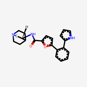 O=C(N[C@H]1CN2CCC1CC2)c1ccc(-c2ccccc2-c2ccc[nH]2)o1